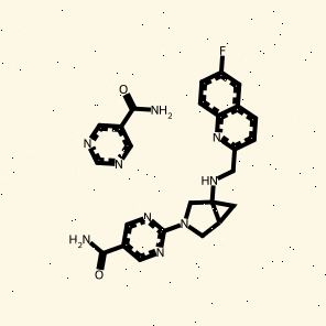 NC(=O)c1cnc(N2CC3CC3(NCc3ccc4cc(F)ccc4n3)C2)nc1.NC(=O)c1cncnc1